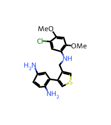 COc1cc(OC)c(NCc2cscc2-c2cc(N)ccc2N)cc1Cl